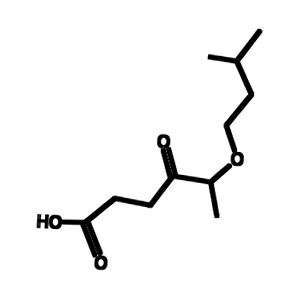 CC(C)CCOC(C)C(=O)CCC(=O)O